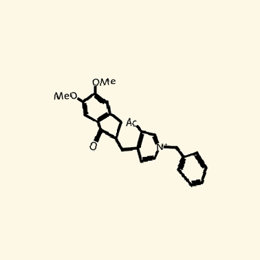 COc1cc2c(cc1OC)C(=O)C(Cc1cc[n+](Cc3ccccc3)cc1C(C)=O)C2